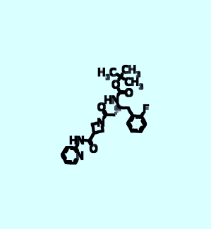 CC(C)(C)OC(=O)N[C@@H](CC(=O)N1CC(C(=O)Nc2ccccn2)C1)Cc1ccccc1F